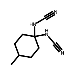 CC1CCC(NC#N)(NC#N)CC1